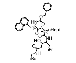 CCCCCCC[C@H](NC(=O)[C@H](Cc1cccc2ccccc12)NC(=O)OCc1ccccc1)C(=O)NC(CC(C)C)C(O)CC(=O)NCC(C)CC